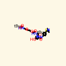 Cc1ncsc1-c1ccc(CNC(=O)[C@@H]2C[C@@H](O)CN2C(=O)[C@@H](NC(=O)COCCCOCCNC(=O)OC(C)(C)C)C(C)(C)C)cc1